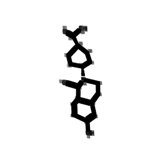 O=C1c2ccc(O)cc2CCN1[C@H]1CC[C@H](C(=O)O)CC1